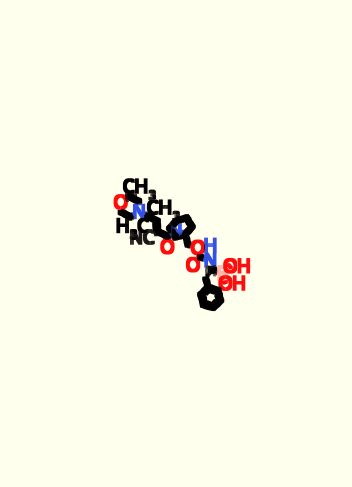 C[C@@H]1CN(C(C)(C)C=C(C#N)C(=O)N2C3CCC2(COC(=O)N[C@@H](Cc2ccccc2)B(O)O)CC3)CCO1